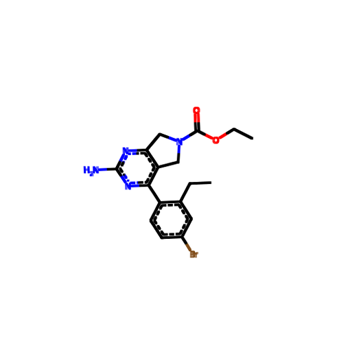 CCOC(=O)N1Cc2nc(N)nc(-c3ccc(Br)cc3CC)c2C1